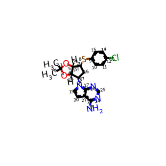 CC1(C)O[C@@H]2[C@H](O1)[C@@H](Sc1ccc(Cl)cc1)C[C@H]2n1ccc2c(N)ncnc21